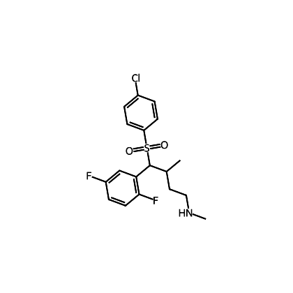 CNCCC(C)C(c1cc(F)ccc1F)S(=O)(=O)c1ccc(Cl)cc1